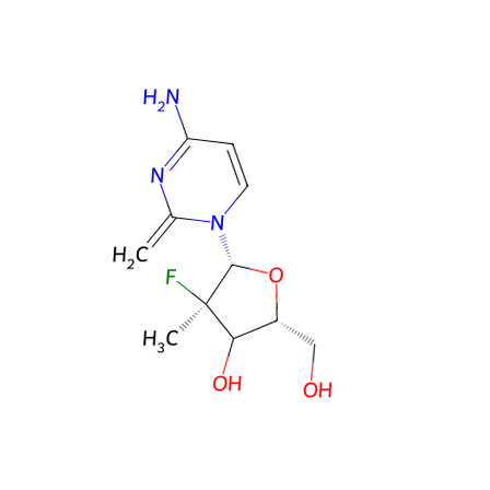 C=C1N=C(N)C=CN1[C@@H]1O[C@H](CO)C(O)[C@@]1(C)F